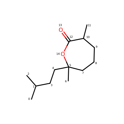 CC(C)CCC1(C)CCCC(C)C(=O)O1